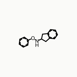 c1ccc(ONC2Cc3ccccc3C2)cc1